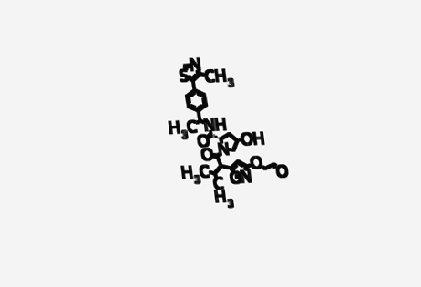 Cc1ncsc1-c1ccc([C@H](C)NC(=O)[C@@H]2C[C@@H](O)CN2C(=O)C(c2cc(OCC=O)no2)C(C)C)cc1